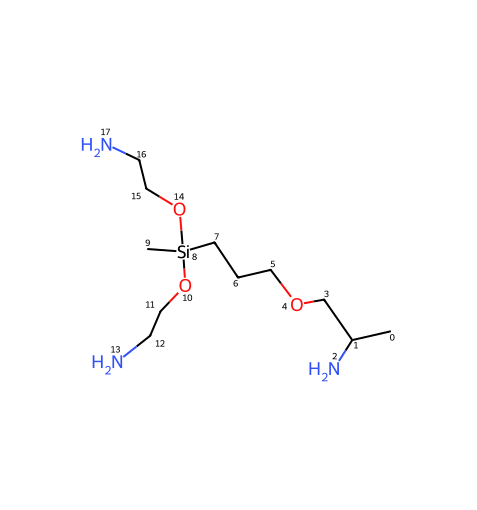 CC(N)COCCC[Si](C)(OCCN)OCCN